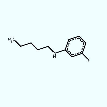 CCCCCNc1cccc(F)c1